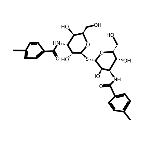 Cc1ccc(C(=O)N[C@@H]2[C@@H](O)[C@@H](CO)O[C@@H](S[C@@H]3O[C@H](CO)[C@H](O)[C@@H](NC(=O)c4ccc(C)cc4)[C@H]3O)[C@@H]2O)cc1